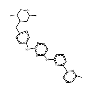 Cc1cccc(-c2nccc(Nc3ccnc(Nc4ccc(CN5C[C@H](C)NC[C@H]5C)cc4)n3)n2)n1